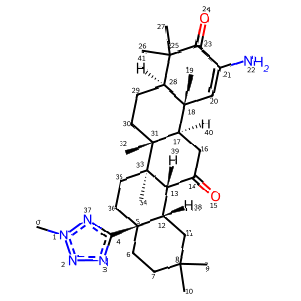 Cn1nnc([C@]23CCC(C)(C)C[C@H]2[C@H]2C(=O)C[C@@H]4[C@@]5(C)C=C(N)C(=O)C(C)(C)[C@@H]5CC[C@@]4(C)[C@]2(C)CC3)n1